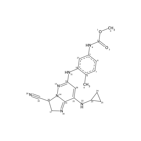 COC(=O)Nc1ccc(C)c(NC2=NN3C(=NCC3C#N)C(NC3CC3)=C2)c1